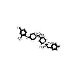 CCO.Cc1cc(Cl)ccc1OC1CCN(CC2CCN([C@@](C)(Cc3ccc(F)cc3)C(=O)O)CC2)CC1